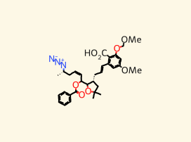 COCOc1cc(OC)cc(/C=C/C[C@@H]2CC(C)(C)OC2C(/C=C\C[C@H](C)N=[N+]=[N-])OC(=O)c2ccccc2)c1C(=O)O